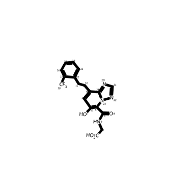 O=C(O)CNC(=O)c1c(O)cc(CCc2ccccc2C(F)(F)F)c2ncnn12